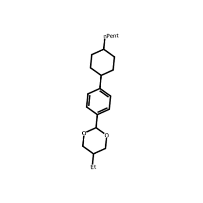 CCCCCC1CCC(c2ccc(C3OCC(CC)CO3)cc2)CC1